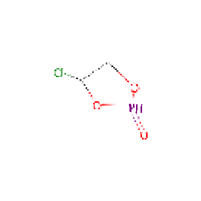 O=[PH]1OCC(Cl)O1